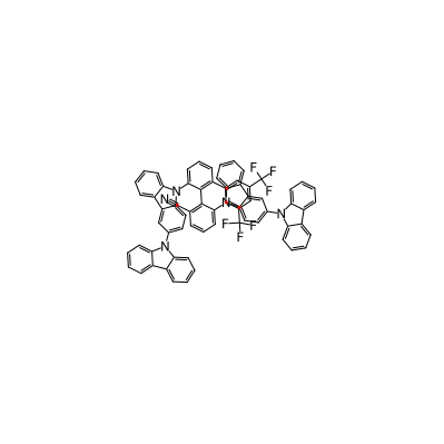 N#Cc1cccc(-n2c3ccccc3c3cc(-n4c5ccccc5c5ccccc54)ccc32)c1-c1c(-c2cc(C(F)(F)F)cc(C(F)(F)F)c2)cccc1-n1c2ccccc2c2cc(-n3c4ccccc4c4ccccc43)ccc21